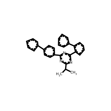 CC(C)c1nc(-c2ccc(-c3ccccc3)cc2)nc(-c2ccccc2-c2ccccc2)n1